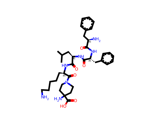 CC(C)C[C@@H](NC(=O)[C@@H](Cc1ccccc1)NC(=O)[C@H](N)Cc1ccccc1)C(=O)N[C@H](CCCCCN)C(=O)N1CCC(N)(C(=O)O)CC1